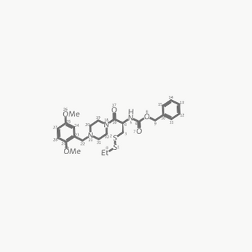 CCSSC[C@H](NC(=O)OCc1ccccc1)C(=O)N1CCN(Cc2cc(OC)ccc2OC)CC1